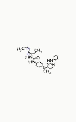 C=C/C(=C\C=C/C)NC(=O)Nc1ccc(N(C)c2ccnc(Nc3ccccc3)n2)cc1